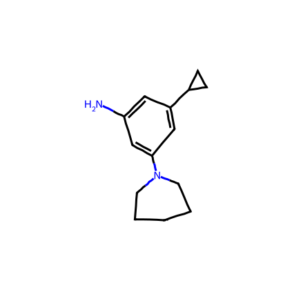 Nc1cc(C2CC2)cc(N2CC[CH]CC2)c1